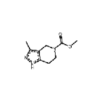 COC(=O)N1CCc2[nH]nc(C)c2C1